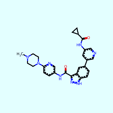 CN1CCN(c2ccc(NC(=O)c3n[nH]c4ccc(-c5cncc(NC(=O)C6CC6)c5)cc34)cn2)CC1